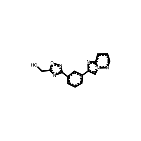 OCc1nc(-c2cccc(-c3cn4ncccc4n3)c2)no1